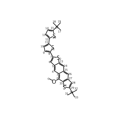 COc1c2cc3cc(-c4ccc(-c5ccc(C(C)(C)C)s5)s4)sc3cc2cc2cc(C(C)(C)C)sc12